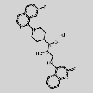 Cl.O=c1cc(NC[C@H](O)[C@H](O)C2CCN(c3nccc4ccc(F)cc34)CC2)c2ccccc2o1